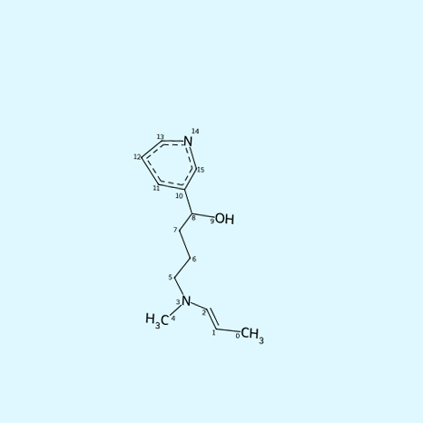 C/C=C/N(C)CCCC(O)c1cccnc1